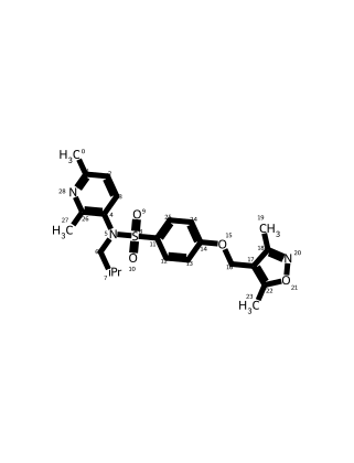 Cc1ccc(N(CC(C)C)S(=O)(=O)c2ccc(OCc3c(C)noc3C)cc2)c(C)n1